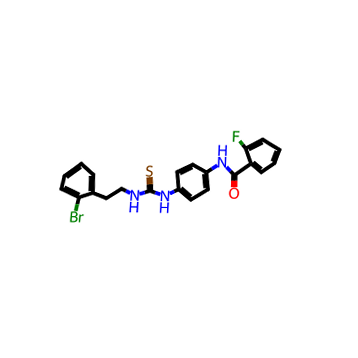 O=C(Nc1ccc(NC(=S)NCCc2ccccc2Br)cc1)c1ccccc1F